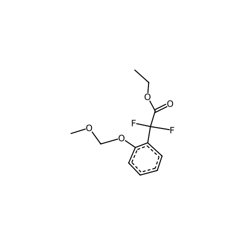 CCOC(=O)C(F)(F)c1ccccc1OCOC